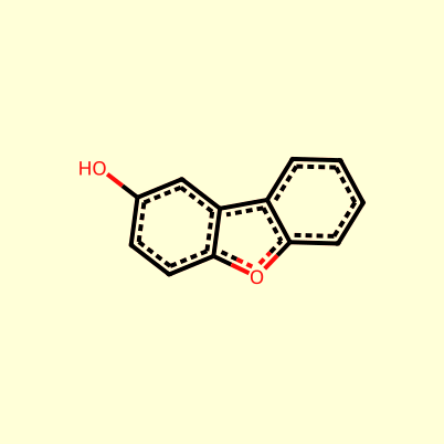 Oc1ccc2oc3ccccc3c2c1